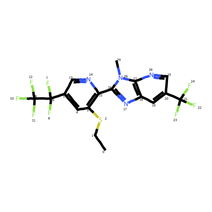 CCSc1cc(C(F)(F)C(F)(F)F)cnc1-c1nc2cc(C(F)(F)F)cnc2n1C